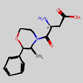 CC1C(c2ccccc2)OCCN1C(=O)[C@@H](N)CC(=O)O